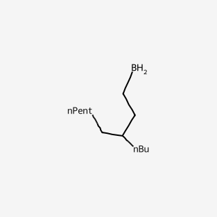 BCCC(CCCC)CCCCCC